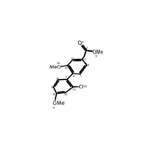 COC(=O)c1ccc(-c2ccc(OC)cc2Cl)c(OC)c1